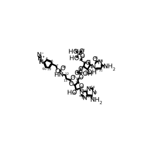 [N-]=[N+]=Nc1ccc(COC(=O)NCCC(=O)OC2C(COP(=O)(O)O[C@H]3[C@@H](O)[C@H](n4ccc(N)nc4=O)O[C@@H]3COP(=O)(O)O)OC(n3cnc4c(N)ncnc43)C2O)cc1